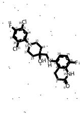 O=C1CCc2c(NCC3(O)CCN(c4cc(Cl)c(F)cc4Cl)CC3)ccc(F)c2N1